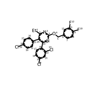 CCc1nc(OCc2ccc(F)c(F)c2)nc(-c2ccc(Cl)cc2Cl)c1-c1ccc(Cl)cc1